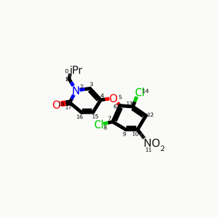 CC(C)Cn1cc(Oc2c(Cl)cc([N+](=O)[O-])cc2Cl)ccc1=O